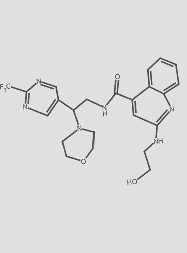 O=C(NCC(c1cnc(C(F)(F)F)nc1)N1CCOCC1)c1cc(NCCO)nc2ccccc12